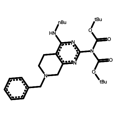 CCCCNc1nc(N(C(=O)OC(C)(C)C)C(=O)OC(C)(C)C)nc2c1CCN(Cc1ccccc1)C2